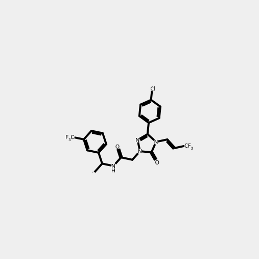 [CH2]C(NC(=O)Cn1nc(-c2ccc(Cl)cc2)n(/C=C/C(F)(F)F)c1=O)c1cccc(C(F)(F)F)c1